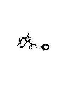 Cc1sc(C(=O)COc2ccccc2)c2c1CC(C)(C)CC2